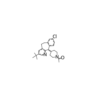 CC(=O)N1CCC(=C2c3ccc(Cl)cc3CCc3cc(C(C)(C)C)cnc32)CC1